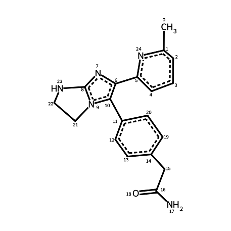 Cc1cccc(-c2nc3n(c2-c2ccc(CC(N)=O)cc2)CCN3)n1